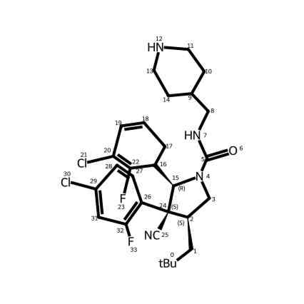 CC(C)(C)C[C@@H]1CN(C(=O)NCC2CCNCC2)[C@H](C2CC=CC(Cl)=C2F)[C@@]1(C#N)c1ccc(Cl)cc1F